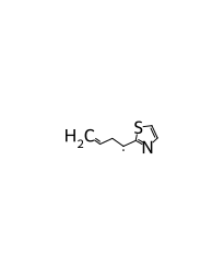 C=CC[CH]c1nccs1